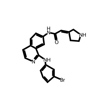 O=C(/C=C1\CCNC1)Nc1ccc2ccnc(Nc3cccc(Br)c3)c2c1